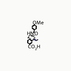 C=C=C(NC(=O)c1ccc(OC)cc1)S/C(=C\C)c1cccc(C(=O)O)c1